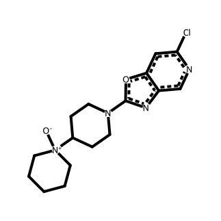 [O-][N+]1(C2CCN(c3nc4cnc(Cl)cc4o3)CC2)CCCCC1